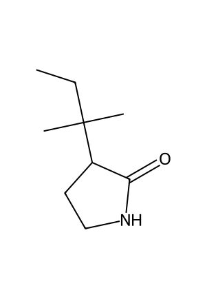 CCC(C)(C)C1CCNC1=O